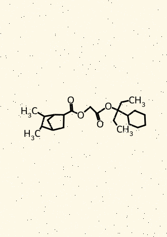 CCC(CC)(OC(=O)COC(=O)C1CC2CC1C(C)C2C)C1CCCCC1